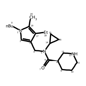 CCCCn1cc(CN(C(=O)[C@@H]2CCCNC2)C2CC2)c(CC)c1C